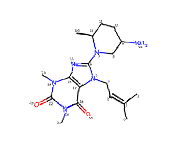 CC(C)=CCn1c(N2CC(N)CCC2C)nc2c1c(=O)n(C)c(=O)n2C